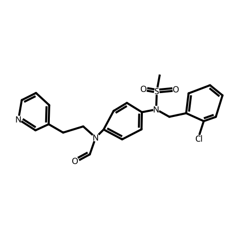 CS(=O)(=O)N(Cc1ccccc1Cl)c1ccc(N(C=O)CCc2cccnc2)cc1